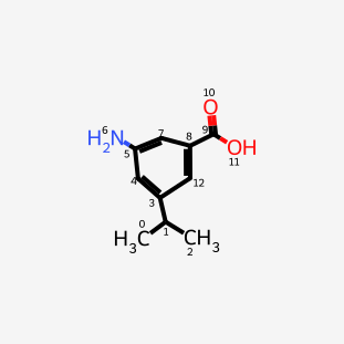 CC(C)c1cc(N)cc(C(=O)O)c1